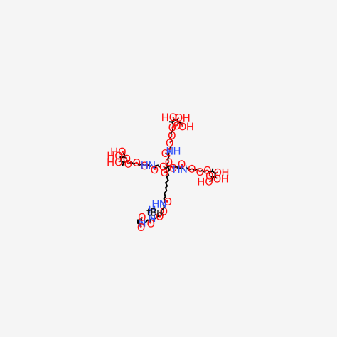 CC1C(OCCOCCOCCNC(=O)CCOCC(COCCC(=O)NCCOCCOCCOC2OC(CO)C(O)C(O)C2C)(COCCC(=O)NCCOCCOCCOC2OC(CO)C(O)C(O)C2C)CC(=O)CCCCCCCCCCC(=O)NCCOC(C)(OCCNC(=O)CCN2C(=O)C=CC2=O)C(C)(C)C)OC(CO)C(O)C1O